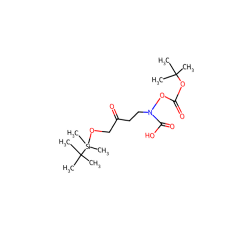 CC(C)(C)OC(=O)ON(CCC(=O)CO[Si](C)(C)C(C)(C)C)C(=O)O